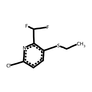 CCSc1ccc(Cl)nc1C(F)F